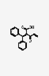 C=CC(=O)C(C(=O)O)=C(c1ccccc1)c1ccccc1